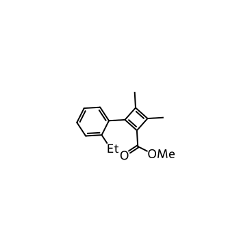 CCc1ccccc1C1=C(C(=O)OC)C(C)=C1C